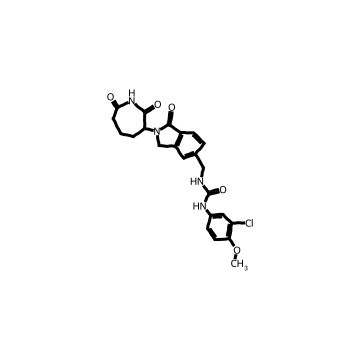 COc1ccc(NC(=O)NCc2ccc3c(c2)CN(C2CCCC(=O)NC2=O)C3=O)cc1Cl